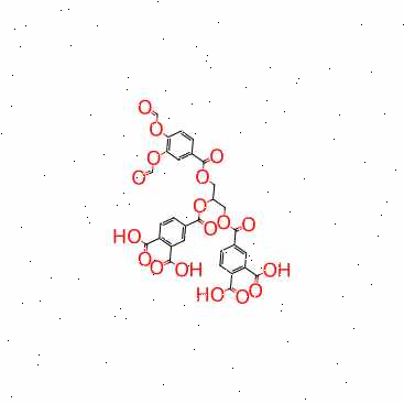 O=COc1ccc(C(=O)OCC(COC(=O)c2ccc(C(=O)O)c(C(=O)O)c2)OC(=O)c2ccc(C(=O)O)c(C(=O)O)c2)cc1OC=O